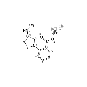 CCN[C@@H]1CCN(c2ncccc2C(=O)OC(C)C)C1.Cl.Cl